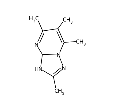 CC1=NN2C(C)=C(C)C(C)=NC2N1